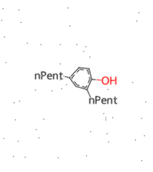 CCCCCc1ccc(O)c(CCCCC)c1